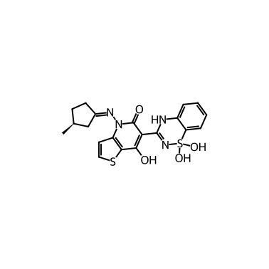 C[C@H]1CC/C(=N/n2c(=O)c(C3=NS(O)(O)c4ccccc4N3)c(O)c3sccc32)C1